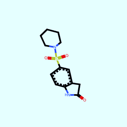 O=C1Cc2cc(S(=O)(=O)N3CCCCC3)ccc2N1